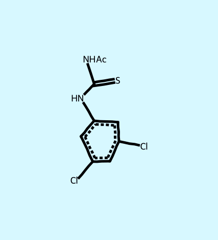 CC(=O)NC(=S)Nc1cc(Cl)cc(Cl)c1